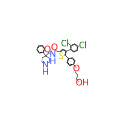 O=C(NC(=O)C1(c2ccccc2)CCNCC1)c1cc(-c2ccc(Cl)cc2Cl)c(-c2ccc(OCCCO)cc2)s1